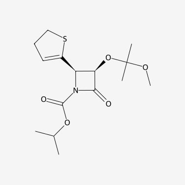 COC(C)(C)O[C@H]1C(=O)N(C(=O)OC(C)C)[C@H]1C1=CCCS1